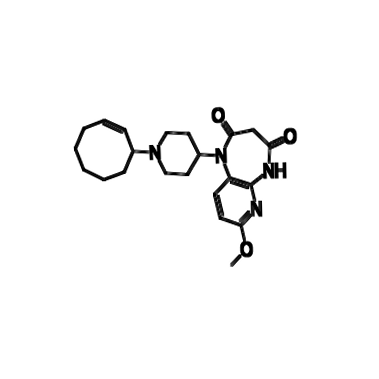 COc1ccc2c(n1)NC(=O)CC(=O)N2C1CCN(C2C=CCCCCC2)CC1